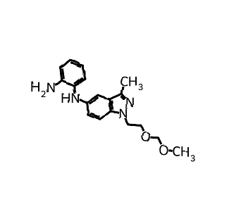 COCOCCn1nc(C)c2cc(Nc3ccccc3N)ccc21